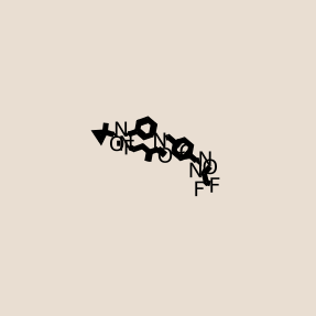 C=C(CCF)C(=O)N(CC12CCC(c3noc(C(F)F)n3)(CC1)CC2)c1cccc(-c2noc(C3(C)CC3)n2)c1